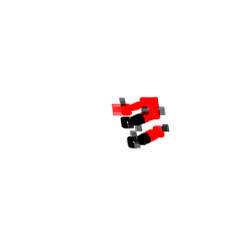 OO.[O]=[Cr].[O]=[Cr]